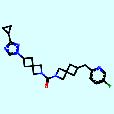 O=C(N1CC2(CC(Cc3ccc(F)cn3)C2)C1)N1CC2(CC(n3cnc(C4CC4)n3)C2)C1